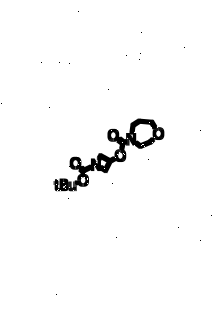 CC(C)(C)OC(=O)N1CC(OC(=O)N2CCCOCC2)C1